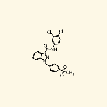 CS(=O)(=O)c1ccc(Cn2nc(C(=O)Nc3ccc(Cl)c(Cl)c3)c3ccccc32)cc1